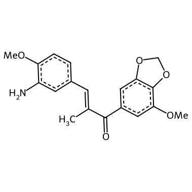 COc1ccc(C=C(C)C(=O)c2cc(OC)c3c(c2)OCO3)cc1N